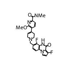 CNC(=O)c1ccc(C2=CCN(Cc3ccc4c([nH]c(=O)c5c(F)ccn54)c3F)CC2)c(OC)n1